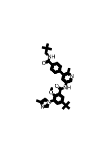 COc1c(C(=O)Nc2cnc(C)c(-c3ccc(C(=O)NCC(C)(C)C)cc3)c2)cc(C(C)(C)C)cc1-n1cnc(C)c1